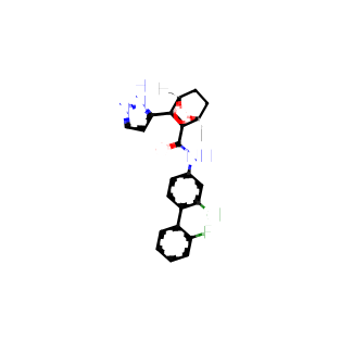 O=C(Nc1ccc(-c2ccccc2F)c(Cl)c1)C1=C(c2ccn[nH]2)[C@@H]2CC[C@@H]1O2